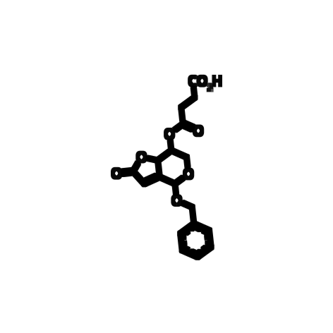 O=C(O)CCC(=O)OC1COC(OCc2ccccc2)C2=CC(=O)OC21